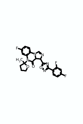 CC1(N2C(=O)C3C(c4nc(-c5ccc(F)cc5F)no4)N=CN3c3ccc(F)cc32)CCCO1